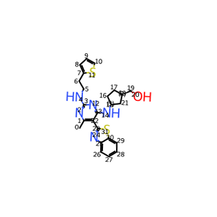 Cc1nc(NCCc2cccs2)nc(N[C@H]2CC[C@@H](CO)C2)c1-c1nc2ccccc2s1